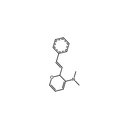 CN(C)C1=CC=COC1C=Cc1ccccc1